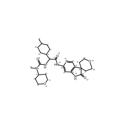 CC1CCC(C(NC(=O)N(C)C2CCOCC2)C(=O)Nc2cc3c(cn2)C2(CCOCC2)C(=O)N3)CC1